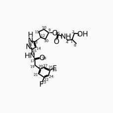 CC(CO)CNC(=O)O[C@@H]1CC[C@H](c2cc(NC(=O)Cc3cc(F)cc(F)c3)n[nH]2)C1